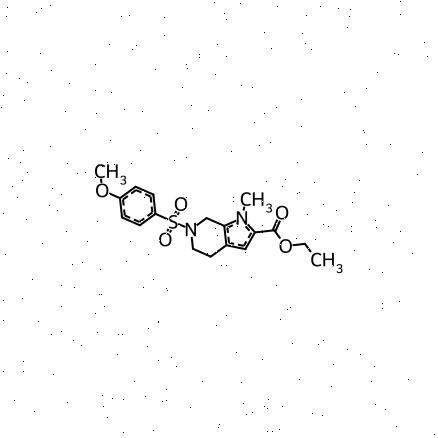 CCOC(=O)c1cc2c(n1C)CN(S(=O)(=O)c1ccc(OC)cc1)CC2